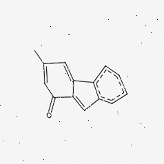 CC1=CC(=O)C2=Cc3ccccc3C2=C1